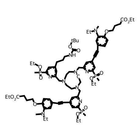 CCOC(=O)CCCOc1ccc(C#Cc2cc(CN3CCN(Cc4cc(C#Cc5ccc(OCCCC(=O)OCC)c(N(C)CC)c5)cc(P(C)(=O)OCC)n4)CCN(Cc4cc(CCCNC(=O)OC(C)(C)C)cc(P(C)(=O)OCC)n4)CC3)nc(P(C)(=O)OCC)c2)cc1N(C)CC